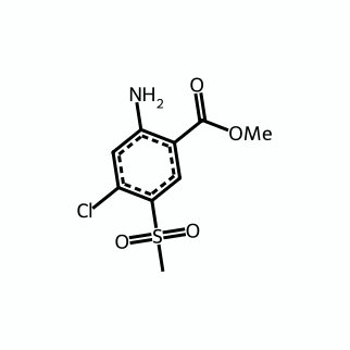 COC(=O)c1cc(S(C)(=O)=O)c(Cl)cc1N